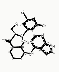 CC[C@@H](Nc1cc(Cl)cc(Cl)c1)C(=O)N1CCCC(Nc2ncnc3[nH]ncc23)C1C